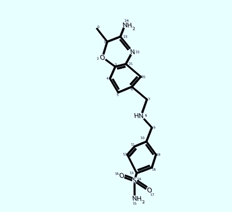 CC1Oc2ccc(CNCc3ccc(S(N)(=O)=O)cc3)cc2N=C1N